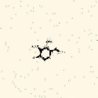 CC(=O)OCC1OCC(F)C(OC(C)=O)[C@@H]1OC(C)=O